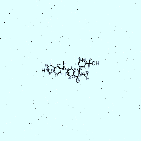 CC(C)(O)c1cc(-n2c3cc(Nc4ccc5c(c4)CCNC5)ncc3c(=O)n2C2CC2)ccn1